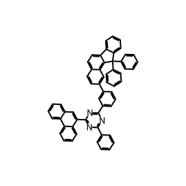 c1ccc(-c2nc(-c3cccc(-c4ccc5ccc6c(c5c4)C(c4ccccc4)(c4ccccc4)c4ccccc4-6)c3)nc(-c3cc4ccccc4c4ccccc34)n2)cc1